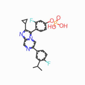 CC(C)c1cc(-c2cn3c(-c4ccc(OP(=O)(O)O)cc4F)c(C4CC4)nc3cn2)ccc1F